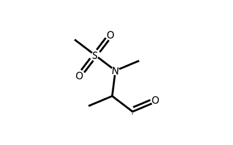 CC([C]=O)N(C)S(C)(=O)=O